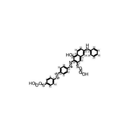 OOOSc1ccc(/N=N/c2ccc(/N=N/c3c(SOOO)cc4cc(Nc5ccccc5)ccc4c3O)cc2)cc1